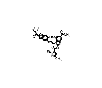 CCn1nc(C)cc1C(=O)Nc1nc2cc(C(N)=O)ccc2n1CCCc1cc2cc(C(=O)CCC(=O)O)sc2cc1OC